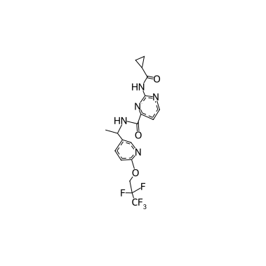 CC(NC(=O)c1ccnc(NC(=O)C2CC2)n1)c1ccc(OCC(F)(F)C(F)(F)F)nc1